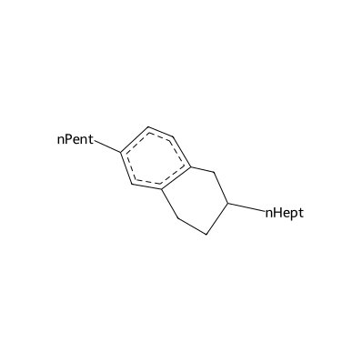 CCCCCCCC1CCc2cc(CCCCC)ccc2C1